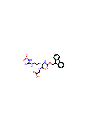 N=C(NCCC[C@H](NC(=O)OCC1c2ccccc2-c2ccccc21)C(=O)NCC(=O)O)N[N+](=O)[O-]